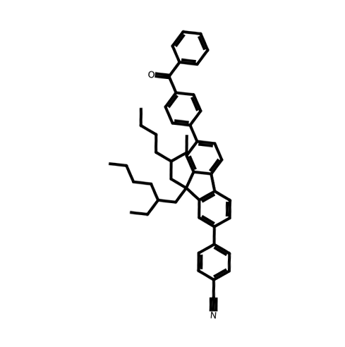 CCCCC(CC)CC1(CC(CC)CCCC)c2cc(-c3ccc(C#N)cc3)ccc2-c2ccc(-c3ccc(C(=O)c4ccccc4)cc3)cc21